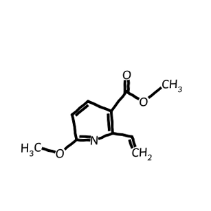 C=Cc1nc(OC)ccc1C(=O)OC